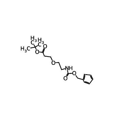 CC(C)(C)OC(=O)CCOCCNC(=O)OCc1ccccc1